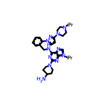 CC(C)N1CCN(c2ccn(-c3ccccc3CNc3nc(N4CCC(N)CC4)nc4c3ncn4C(C)C)n2)CC1